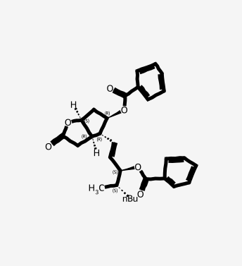 CCCC[C@H](C)[C@@H](C=C[C@@H]1[C@H]2CC(=O)O[C@H]2C[C@H]1OC(=O)c1ccccc1)OC(=O)c1ccccc1